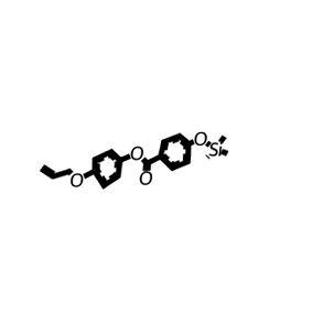 C=CCOc1ccc(OC(=O)c2ccc(O[Si](C)(C)C)cc2)cc1